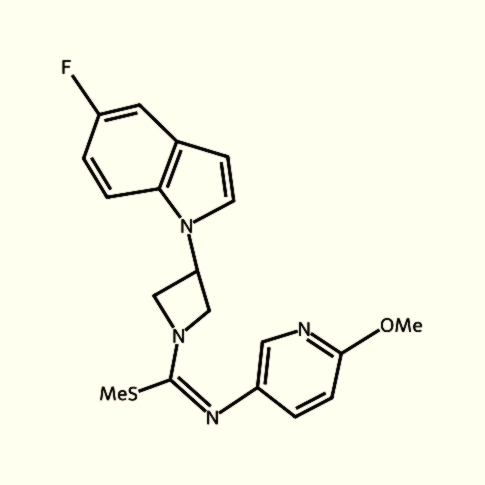 COc1ccc(/N=C(/SC)N2CC(n3ccc4cc(F)ccc43)C2)cn1